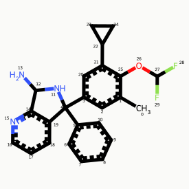 Cc1cc(C2(c3ccccc3)NC(N)c3ncccc32)cc(C2CC2)c1OC(F)F